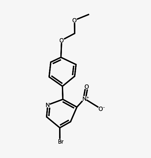 COCOc1ccc(-c2ncc(Br)cc2[N+](=O)[O-])cc1